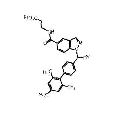 CCCC(c1ccc(-c2c(C)cc(C)cc2C)cc1)n1ncc2cc(C(=O)NCCC(=O)OCC)ccc21